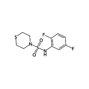 O=S(=O)(Nc1cc(F)ccc1F)N1CCSCC1